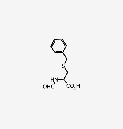 O=CN[C@@H](CSCc1ccccc1)C(=O)O